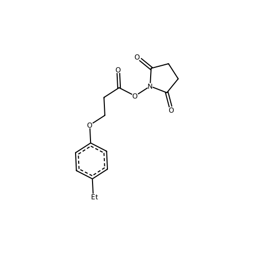 CCc1ccc(OCCC(=O)ON2C(=O)CCC2=O)cc1